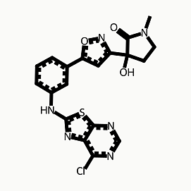 CN1CCC(O)(c2cc(-c3cccc(Nc4nc5c(Cl)ncnc5s4)c3)on2)C1=O